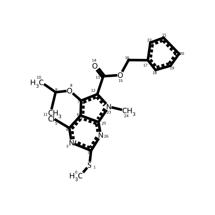 CSc1nc(Cl)c2c(OC(C)C)c(C(=O)OCc3ccccc3)n(C)c2n1